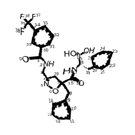 O=C(NCC1=NOC(Cc2ccccc2)(C(=O)N[C@@H](Cc2ccccc2)B(O)O)C1)c1cccc(C(F)(F)F)c1